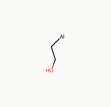 OC[CH2][Al]